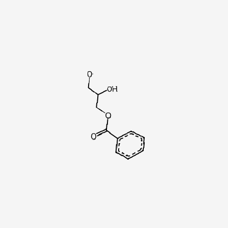 [O]CC(O)COC(=O)c1ccccc1